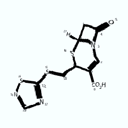 O=C(O)C1=CN2C(=O)C[C@H]2SC1CSc1ncns1